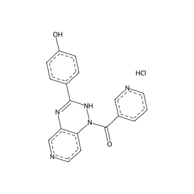 Cl.O=C(c1cccnc1)N1NC(c2ccc(O)cc2)=Nc2cnccc21